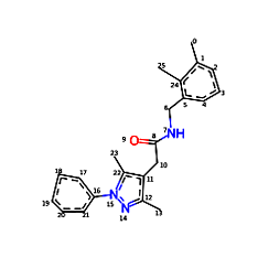 Cc1cccc(CNC(=O)Cc2c(C)nn(-c3ccccc3)c2C)c1C